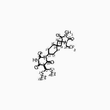 CCSC(SCC)=C1C(=O)NC(=O)N(C2CCC3(CC2)CC2(C3)C(=O)N(C)C(=O)N2CC(F)(F)F)C1=O